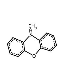 C[SH]1c2ccccc2Oc2ccccc21